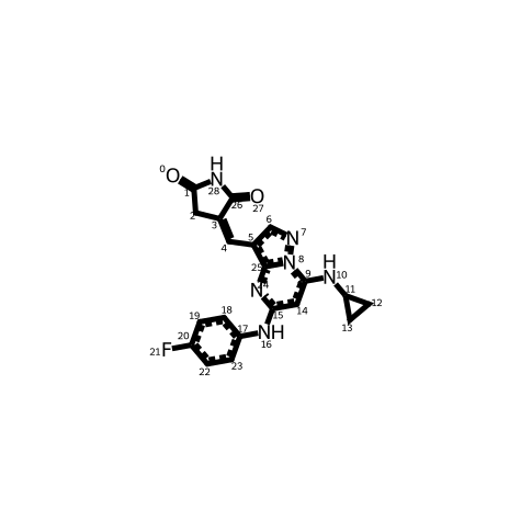 O=C1CC(=Cc2cnn3c(NC4CC4)cc(Nc4ccc(F)cc4)nc23)C(=O)N1